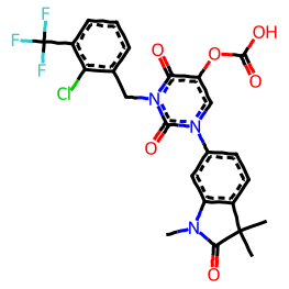 CN1C(=O)C(C)(C)c2ccc(-n3cc(OC(=O)O)c(=O)n(Cc4cccc(C(F)(F)F)c4Cl)c3=O)cc21